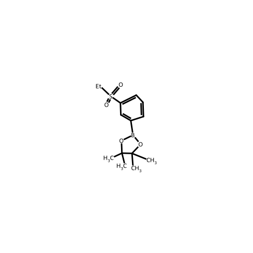 CCS(=O)(=O)c1cccc(B2OC(C)(C)C(C)(C)O2)c1